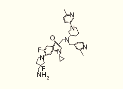 Cc1ccc(N2CCC[C@H](N(Cc3ccnc(C)c3)Cc3cn(C4CC4)c4cc(N5CCC(F)(CN)C5)c(F)cc4c3=O)C2)cn1